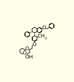 CC1C=C(OCCC(CCO)OC2CCCCO2)C=CC1[C@@H]1c2ccc(OCc3ccccc3)cc2CC[C@@H]1c1ccccc1